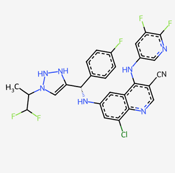 CC(C(F)F)N1C=C([C@@H](Nc2cc(Cl)c3ncc(C#N)c(Nc4cnc(F)c(F)c4)c3c2)c2ccc(F)cc2)NN1